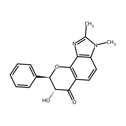 Cc1nc2c3c(ccc2n1C)C(=O)[C@H](O)[C@@H](c1ccccc1)O3